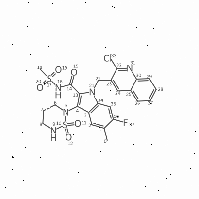 Cc1cc2c(N3CCCNS3(=O)=O)c(C(=O)NS(C)(=O)=O)n(Cc3cc4ccccc4nc3Cl)c2cc1F